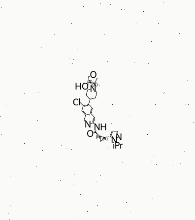 CC(C)n1nccc1[C@@H]1C[C@H]1C(=O)Nc1cc2cc(C3CCN([C@]4(C)COC[C@@H]4O)CC3)c(Cl)cc2cn1